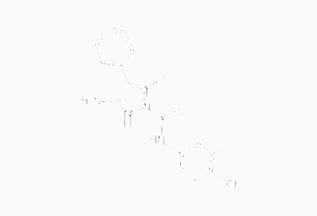 Nc1[nH]n(C(=S)Nc2ccc(Cl)c(Cl)c2)c(=O)c1-c1ccccc1